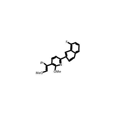 COC=C(c1ccc(-c2ccc3cccc(F)c3c2)nc1OC)C(C)C